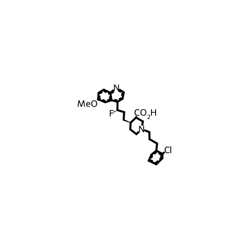 COc1ccc2nccc([C@@H](F)CC[C@@H]3CCN(CCCc4ccccc4Cl)C[C@@H]3C(=O)O)c2c1